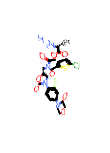 CC(C)[C@H](N)C(=O)OCC(=O)N(C[C@H]1CN(c2ccc(N3CCOCC3=O)cc2F)C(=O)O1)C(=O)c1ccc(Cl)s1